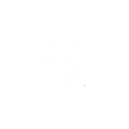 CCOc1cc2c(cc1OC)CCN(C(=O)N1CCOCC1)C2CCc1csc2ccc(Br)cc12